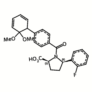 COC1(OC)C=CC=CC1c1ccc(C(=O)N2[C@@H](c3ccccc3F)CC[C@H]2C(=O)O)cc1